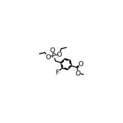 CCOP(=O)(Cc1ccc(C(=O)OC)cc1F)OCC